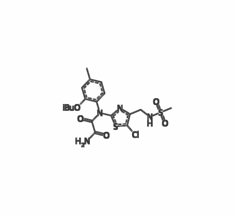 Cc1ccc(N(C(=O)C(N)=O)c2nc(CNS(C)(=O)=O)c(Cl)s2)c(OCC(C)C)c1